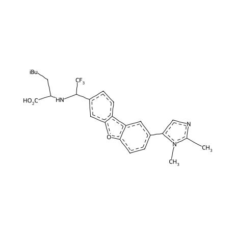 CCC(C)CC(NC(c1ccc2c(c1)oc1ccc(-c3cnc(C)n3C)cc12)C(F)(F)F)C(=O)O